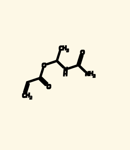 C=CC(=O)OC(C)NC(N)=O